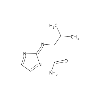 CC(C)CN=C1N=CC=N1.NC=O